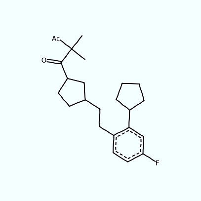 CC(=O)C(C)(C)C(=O)C1CCC(CCc2ccc(F)cc2C2CCCC2)C1